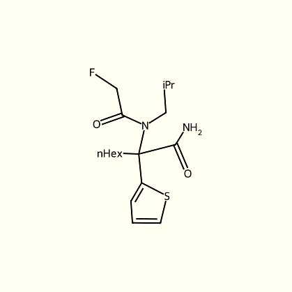 CCCCCCC(C(N)=O)(c1cccs1)N(CC(C)C)C(=O)CF